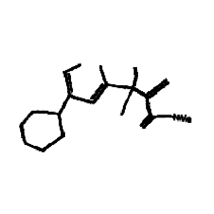 C=C(NC)C(=C)C(C)(C)/C(C)=C/C(=C\C)C1CCCCC1